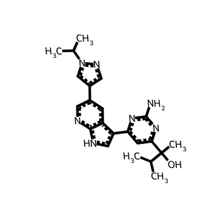 CC(C)n1cc(-c2cnc3[nH]cc(-c4cc(C(C)(O)C(C)C)nc(N)n4)c3c2)cn1